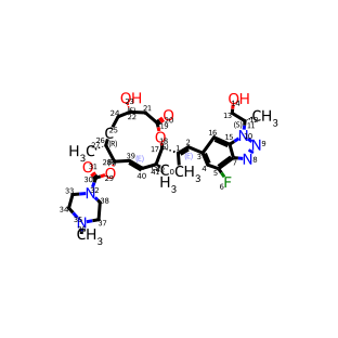 C/C(=C\c1cc(F)c2nnn([C@@H](C)CO)c2c1)[C@H]1OC(=O)C[C@@H](O)CC[C@@H](C)[C@@H](OC(=O)N2CCN(C)CC2)/C=C/[C@@H]1C